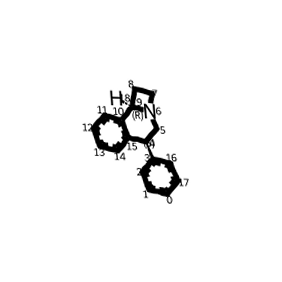 c1ccc([C@@H]2CN3CC[C@@H]3c3ccccc32)cc1